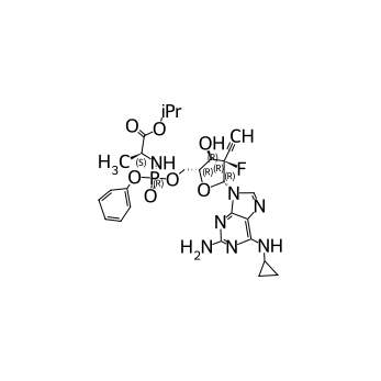 C#C[C@@]1(F)[C@H](O)[C@@H](CO[P@](=O)(N[C@@H](C)C(=O)OC(C)C)Oc2ccccc2)O[C@H]1n1cnc2c(NC3CC3)nc(N)nc21